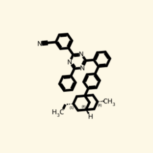 CC[C@H]1C[C@H]2C[C@@H](C)CC(c3ccc(-c4ccccc4-c4nc(-c5ccccc5)nc(-c5cccc(C#N)c5)n4)cc3)(C2)C1